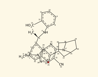 Cc1cc([C@@H](C)Nc2ccccc2C(=O)O)c2nc(N3C4CCC3CC(c3cnn(C)c3)C4)c(C#N)nc2c1